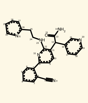 N#Cc1ccccc1-c1ccc(C(C(N)=O)c2cccnc2)c(NCCc2ccccn2)n1